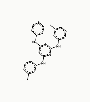 Cc1cccc(Nc2nc(Nc3ccncc3)nc(Nc3cccc(C)c3)n2)c1